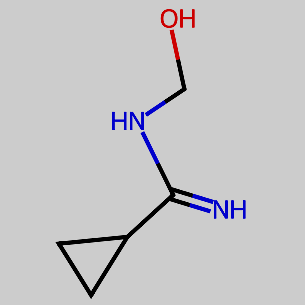 N=C(NCO)C1CC1